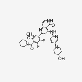 COc1cc(-c2cc(Nc3ccc(N4CCC(O)CC4)cn3)c3c(=O)[nH]ccc3n2)c(F)c(F)c1C(=O)N1CCCCC1